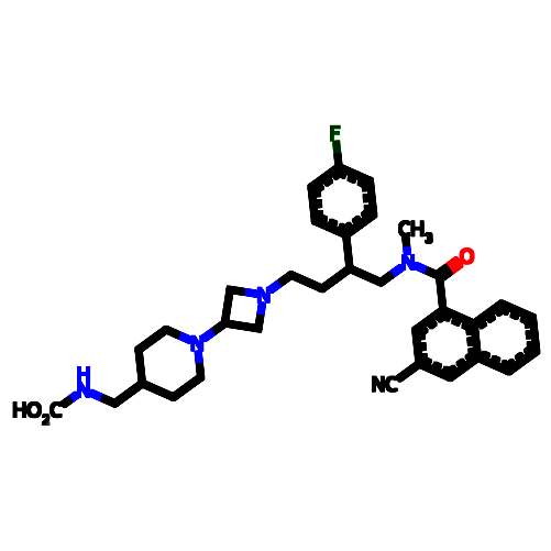 CN(CC(CCN1CC(N2CCC(CNC(=O)O)CC2)C1)c1ccc(F)cc1)C(=O)c1cc(C#N)cc2ccccc12